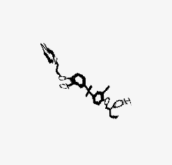 CC[C@H](O)COc1ccc(C(C)(C)c2ccc(OCCCn3ccnc3)c(Cl)c2)cc1C